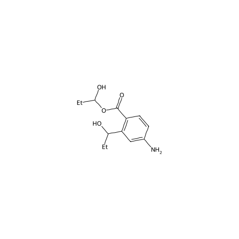 CCC(O)OC(=O)c1ccc(N)cc1C(O)CC